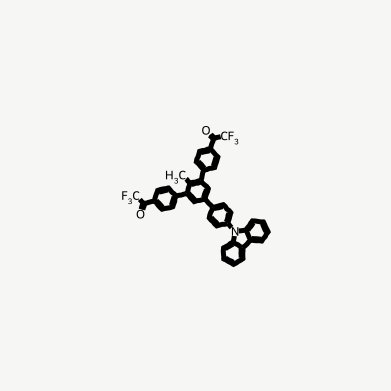 Cc1c(-c2ccc(C(=O)C(F)(F)F)cc2)cc(-c2ccc(-n3c4ccccc4c4ccccc43)cc2)cc1-c1ccc(C(=O)C(F)(F)F)cc1